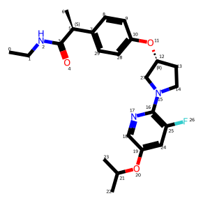 CCNC(=O)[C@@H](C)c1ccc(O[C@@H]2CCN(c3ncc(OC(C)C)cc3F)C2)cc1